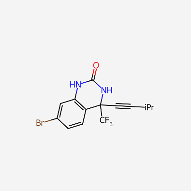 CC(C)C#CC1(C(F)(F)F)NC(=O)Nc2cc(Br)ccc21